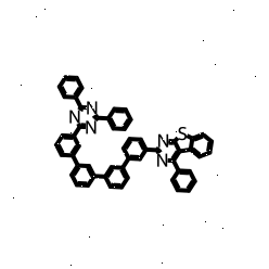 c1ccc(-c2nc(-c3ccccc3)nc(-c3cccc(-c4cccc(-c5cccc(-c6cccc(-c7nc(-c8ccccc8)c8c(n7)sc7ccccc78)c6)c5)c4)c3)n2)cc1